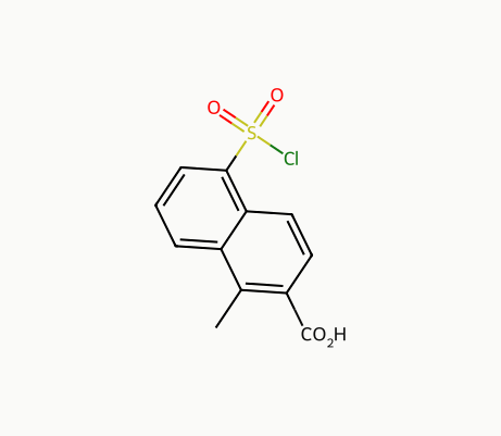 Cc1c(C(=O)O)ccc2c(S(=O)(=O)Cl)cccc12